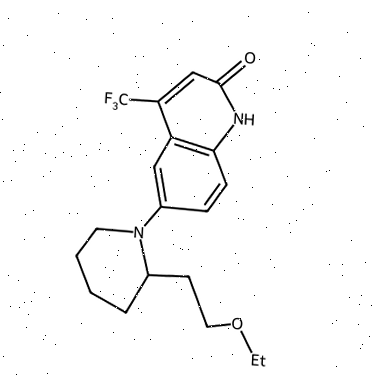 CCOCCC1CCCCN1c1ccc2[nH]c(=O)cc(C(F)(F)F)c2c1